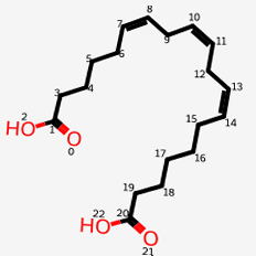 O=C(O)CCCC/C=C\C/C=C\C/C=C\CCCCCC(=O)O